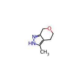 Cc1[nH]nc2c1CCOC2